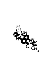 Cc1csc2nc3n(c12)C(O)c1ccc2c4c1c-3ccc4c(=O)n1c2nc2scc(C)c21